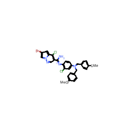 COc1ccc(CN(Cc2ccc(OC)cc2)c2ccc(/N=C(\N)c3cnn4cc(Br)cc4c3Cl)c(Cl)c2)cc1